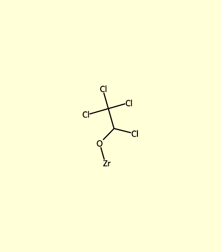 ClC([O][Zr])C(Cl)(Cl)Cl